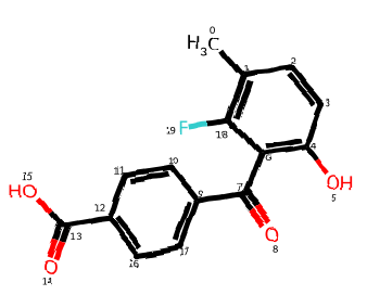 Cc1ccc(O)c(C(=O)c2ccc(C(=O)O)cc2)c1F